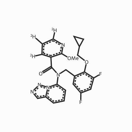 [2H]c1nc(OC)c(C(=O)N(Cc2cc(F)cc(F)c2OCC2CC2)c2cccc3cnnn23)c([2H])c1[2H]